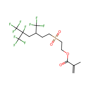 C=C(C)C(=O)OCCS(=O)(=O)CCC(CC(F)(C(F)(F)F)C(F)(F)F)C(F)(F)F